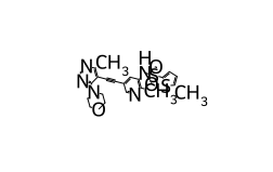 Cc1ccc(S(=O)(=O)Nc2cc(C#Cc3c(C)ncnc3N3CCOCC3)cnc2C)s1